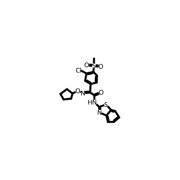 CS(=O)(=O)c1ccc(C(=NOC2CCCC2)C(=O)Nc2nc3ccccc3s2)cc1Cl